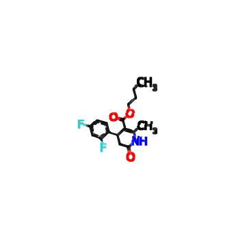 CCCCOC(=O)C1=C(C)NC(=O)CC1c1ccc(F)cc1F